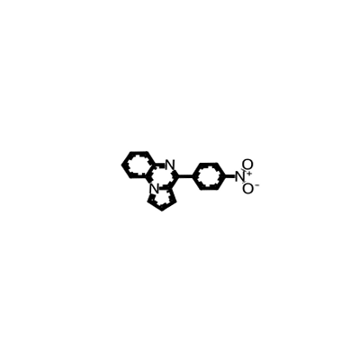 O=[N+]([O-])c1ccc(-c2nc3ccccc3n3cccc23)cc1